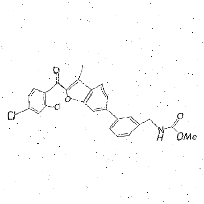 COC(=O)NCc1cccc(-c2ccc3c(C)c(C(=O)c4ccc(Cl)cc4Cl)oc3c2)c1